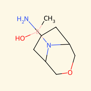 CB(O)N1C2COCC1CC(N)C2